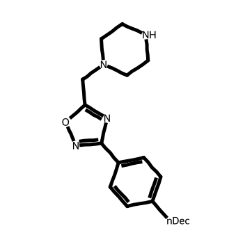 CCCCCCCCCCc1ccc(-c2noc(CN3CCNCC3)n2)cc1